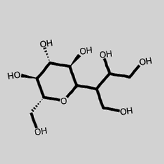 OCC(O)C(CO)[C]1O[C@H](CO)[C@@H](O)[C@H](O)[C@H]1O